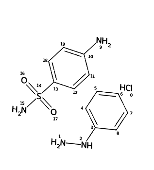 Cl.NNc1ccccc1.Nc1ccc(S(N)(=O)=O)cc1